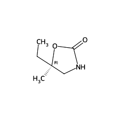 CC[C@]1(C)CNC(=O)O1